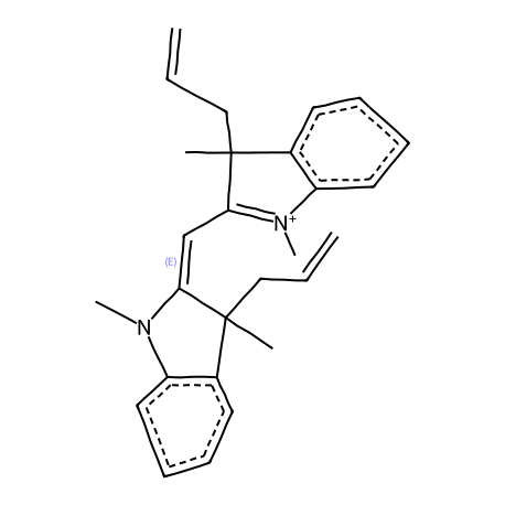 C=CCC1(C)C(/C=C2/N(C)c3ccccc3C2(C)CC=C)=[N+](C)c2ccccc21